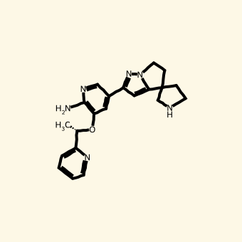 C[C@H](Oc1cc(-c2cc3n(n2)CCC32CCNC2)cnc1N)c1ccccn1